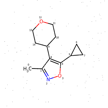 Cc1noc(C2CC2)c1C1CCOCC1